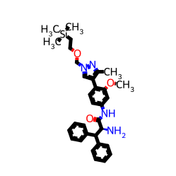 COc1cc(NC(=O)[C@@H](N)C(c2ccccc2)c2ccccc2)ccc1-c1cn(COCC[Si](C)(C)C)nc1C